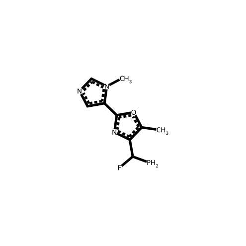 Cc1oc(-c2cncn2C)nc1C(F)P